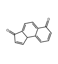 O=C1C=CC=C2C1=CC=C1C(=O)C=CC12